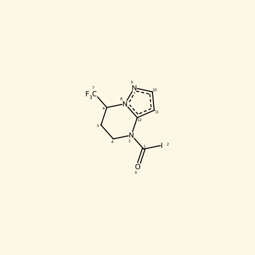 O=C(I)N1CCC(C(F)(F)F)n2nccc21